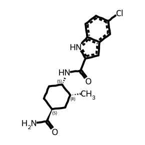 C[C@@H]1C[C@@H](C(N)=O)CC[C@@H]1NC(=O)c1cc2cc(Cl)ccc2[nH]1